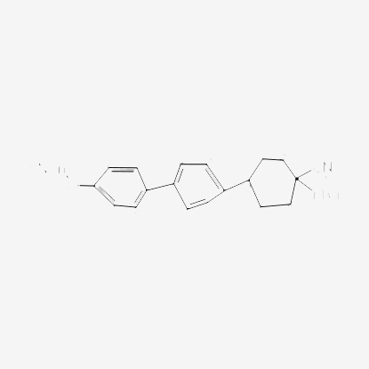 CCCCCCCCCOc1ccc(-c2ccc(C3CCC(C#N)(CCCC)CC3)cc2)cc1